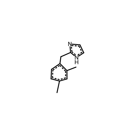 Cc1ccc(Cc2ncc[nH]2)c(C)c1